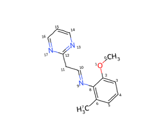 COc1cccc(C)c1N=CCc1ncccn1